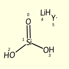 O=[Si](O)O.[LiH].[Y]